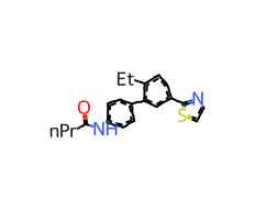 CCCC(=O)Nc1ccc(-c2cc(-c3nccs3)ccc2CC)cc1